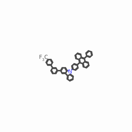 FC(F)(F)c1ccc(-c2cccc(-c3ccc4c(c3)c3ccccc3n4-c3ccc(-c4c5ccccc5c(-c5ccccc5)c5ccccc45)cc3)c2)cc1